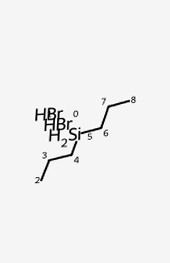 Br.Br.CCC[SiH2]CCC